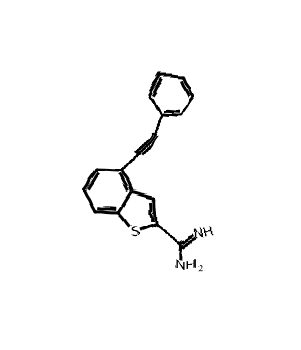 N=C(N)c1cc2c(C#Cc3ccccc3)cccc2s1